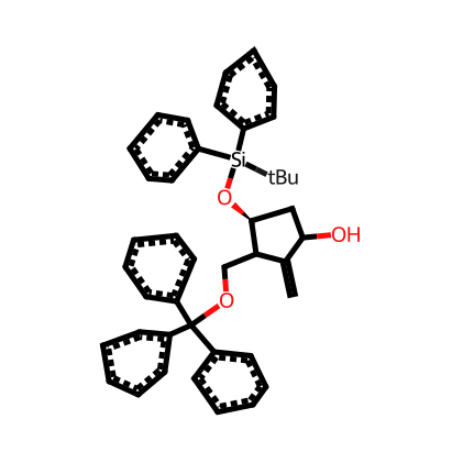 C=C1C(O)C[C@H](O[Si](c2ccccc2)(c2ccccc2)C(C)(C)C)C1COC(c1ccccc1)(c1ccccc1)c1ccccc1